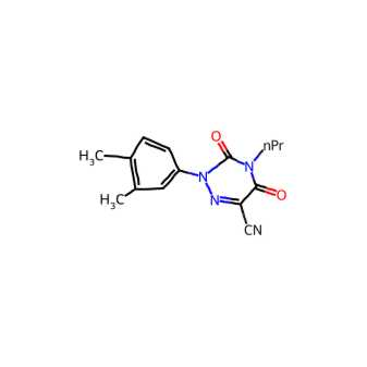 CCCn1c(=O)c(C#N)nn(-c2ccc(C)c(C)c2)c1=O